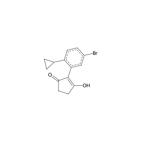 O=C1CCC(O)=C1c1cc(Br)ccc1C1CC1